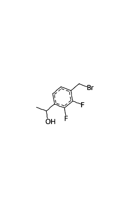 CC(O)c1ccc(CBr)c(F)c1F